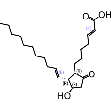 CCCCCCCCC/C=C/[C@H]1[C@H](O)CC(=O)[C@@H]1CCCC/C=C/C(=O)O